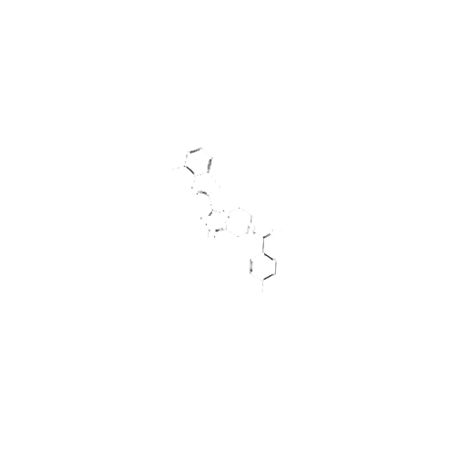 Cc1cccc2sc(-c3nnc4n3CCN(C(=O)c3ccc(Cl)cc3)[C@@H]4C)nc12